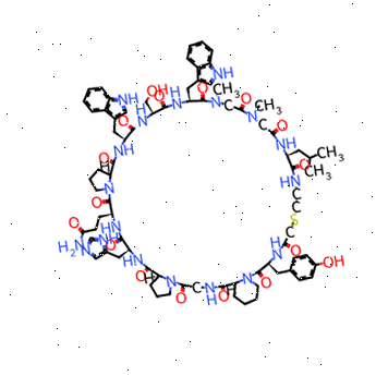 CC(C)C[C@@H]1NC(=O)CN(C)C(=O)CN(C)C(=O)[C@H](Cc2c[nH]c3ccccc23)NC(=O)[C@H](CO)NC(=O)[C@H](Cc2c[nH]c3ccccc23)NC(=O)[C@@H]2CCCN2C(=O)[C@H](CCC(N)=O)NC(=O)[C@H](Cc2cnc[nH]2)NC(=O)[C@@H]2CCCN2C(=O)CNC(=O)[C@@H]2CCCCN2C(=O)[C@H](Cc2ccc(O)cc2)NC(=O)CSCCNC1=O